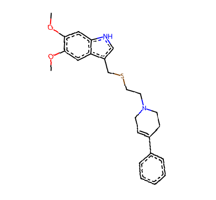 COc1cc2[nH]cc(CSCCN3CC=C(c4ccccc4)CC3)c2cc1OC